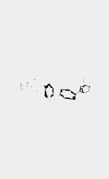 CCOC(=O)c1ccc(Oc2ccc(C3C[C@@H]4CC[C@H]3C4)cc2)nc1